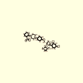 O=[N+]([O-])c1cccnc1N1CCN(c2ccc(OC[C@@H]3CO[C@@](Cn4ccnc4)(c4ccc(Cl)cc4Cl)O3)cc2)CC1